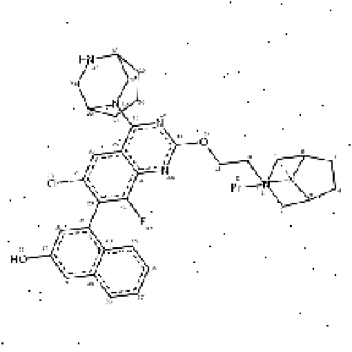 CC(C)N1CC2CCC(C1)N2CCCOc1nc(N2CC3CCCC2CN3)c2cc(Cl)c(-c3cc(O)cc4ccccc34)c(F)c2n1